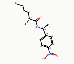 CCCC[C@H](F)C(=O)N[C@@H](C)c1ccc([N+](=O)[O-])cc1